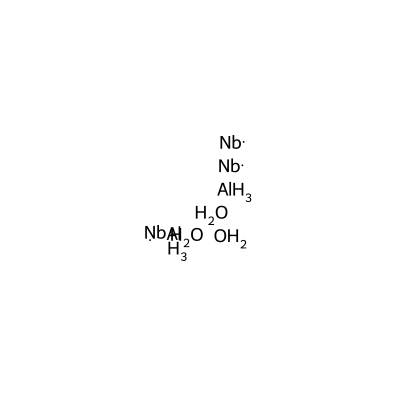 O.O.O.[AlH3].[AlH3].[Nb].[Nb].[Nb]